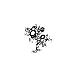 CC(=O)O[C@@]12COC1CC(O)C1(C)C(O)C(O)C3C(C)[C@@H](OC(O)[C@H](OC(O)COCC(O)O)[C@@H](NC(O)OC(C)(C)C)c4ccccc4)CC(O)([C@@H](CC(O)c4ccccc4)[C@@H]12)C3(C)C